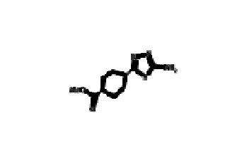 COC(=O)[C@H]1CC[C@H](c2nnc(N)s2)CC1